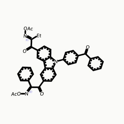 CC/C(=N\OC(C)=O)C(=O)c1ccc2c(c1)c1cc(C(=O)/C(=N/OC(C)=O)c3ccccc3)ccc1n2-c1ccc(C(=O)c2ccccc2)cc1